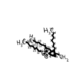 C=Cc1ccc(S(=O)(=O)OCCCCCCCC)c(CCCCCCCC)c1CCCCCCCC